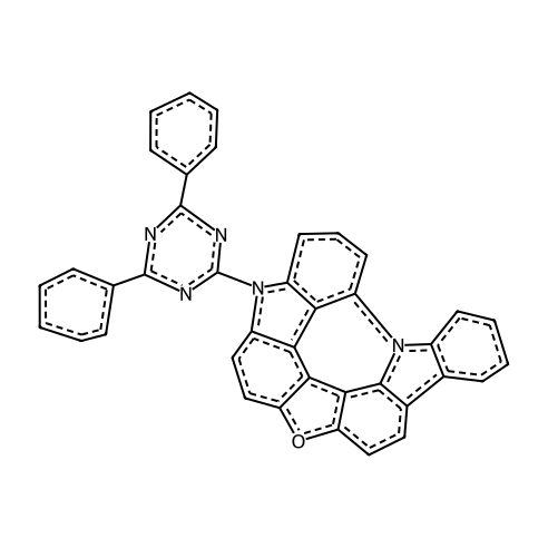 c1ccc(-c2nc(-c3ccccc3)nc(-n3c4ccc5oc6ccc7c8ccccc8n8c9cccc3c9c4c5c6c78)n2)cc1